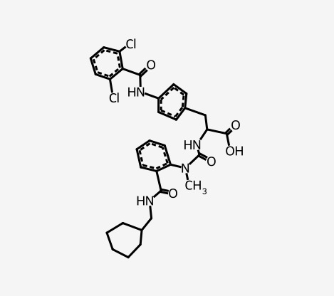 CN(C(=O)NC(Cc1ccc(NC(=O)c2c(Cl)cccc2Cl)cc1)C(=O)O)c1ccccc1C(=O)NCC1CCCCC1